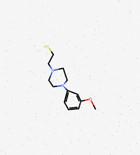 COc1cccc(N2CCN(CCS)CC2)c1